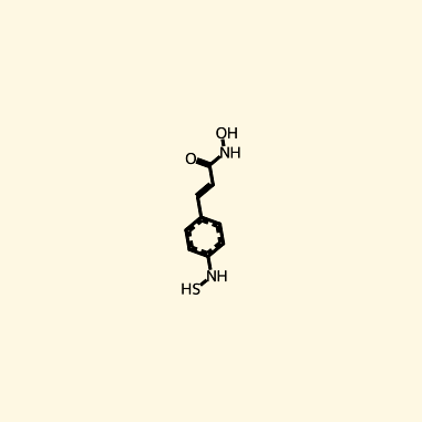 O=C(/C=C/c1ccc(NS)cc1)NO